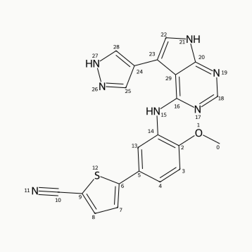 COc1ccc(-c2ccc(C#N)s2)cc1Nc1ncnc2[nH]cc(-c3cn[nH]c3)c12